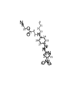 CCCCN(CCC(=O)OCC#N)c1ccc(/N=N/c2ncc([N+](=O)[O-])s2)cc1